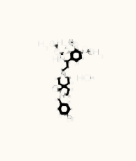 CCOC(=O)NC(CCN1CCC2(CC1)CCN(Cc1ccc(Br)cc1)C2=O)c1ccc(OC)c(OC)c1.Cl